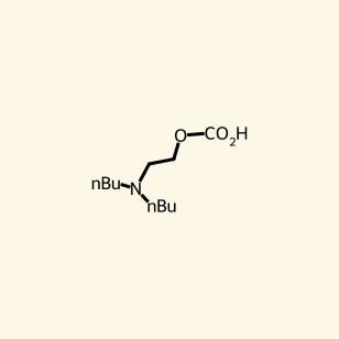 CCCCN(CCCC)CCOC(=O)O